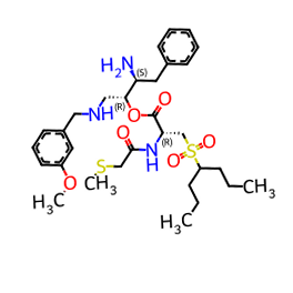 CCCC(CCC)S(=O)(=O)C[C@H](NC(=O)CSC)C(=O)O[C@H](CNCc1cccc(OC)c1)[C@@H](N)Cc1ccccc1